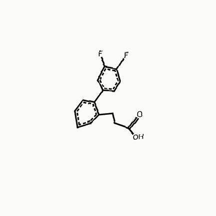 O=C(O)CCc1ccccc1-c1ccc(F)c(F)c1